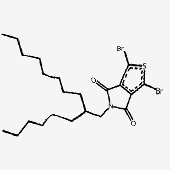 CCCCCCCCC(CCCCCC)CN1C(=O)c2c(Br)sc(Br)c2C1=O